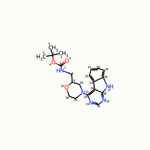 CC(C)(C)OC(=O)NCC1CN(c2ncnc3[nH]c4ccccc4c23)CCO1